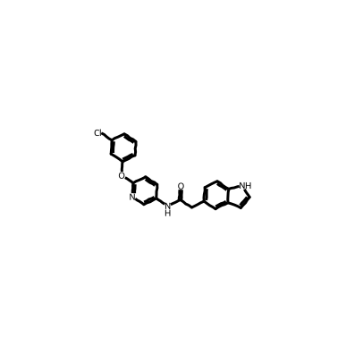 O=C(Cc1ccc2[nH]ccc2c1)Nc1ccc(Oc2cccc(Cl)c2)nc1